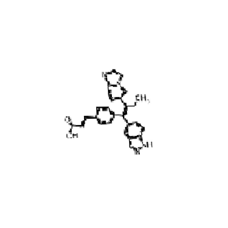 CC/C(=C(/c1ccc(/C=C/C(=O)O)cc1)c1ccc2[nH]ncc2c1)c1ccc2nccn2c1